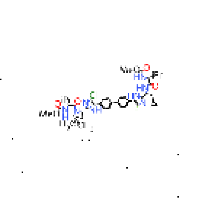 COC(=O)N[C@H](C(=O)N[C@@H](CC1CC1)c1nc(F)c(-c2ccc(-c3ccc(-c4[nH]c([C@@H]5C[Si](C)(C)CN5C(=O)[C@@H](NC(=O)OC)C(C)C)nc4Cl)cc3)cc2)[nH]1)C(C)C